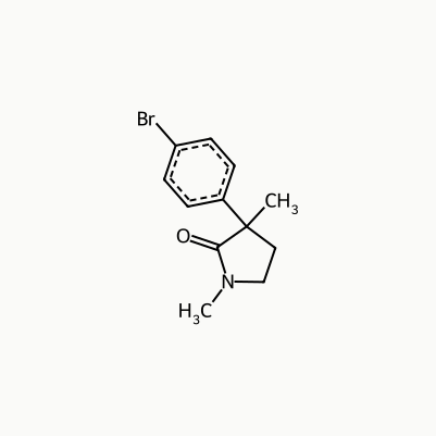 CN1CCC(C)(c2ccc(Br)cc2)C1=O